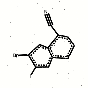 N#Cc1[c]ccc2cc(I)c(Br)cc12